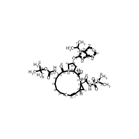 CC(C)n1c(O[C@@H]2C[C@H]3C(=O)N[C@]4(C(=O)NS(=O)(=O)N(C)C)C[C@H]4/C=C\CCCCC[C@H](NC(=O)OC(C)(C)C)C(=O)N3C2)nc2ncccc21